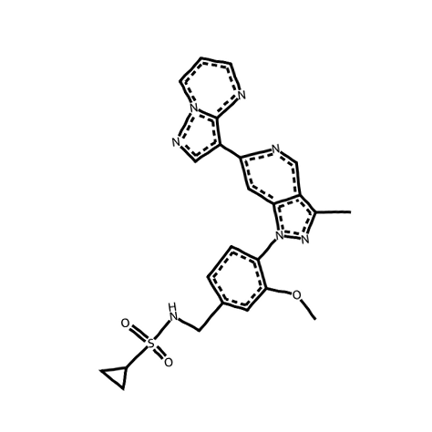 COc1cc(CNS(=O)(=O)C2CC2)ccc1-n1nc(C)c2cnc(-c3cnn4cccnc34)cc21